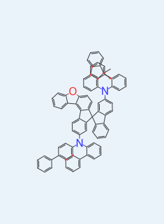 CC1(C)c2ccccc2-c2cccc(N(c3ccc4c(c3)C3(c5ccccc5-4)c4cc(N(c5ccc(-c6ccccc6)cc5)c5ccccc5-c5ccccc5)ccc4-c4c3ccc3oc5ccccc5c43)c3ccccc3-c3ccccc3)c21